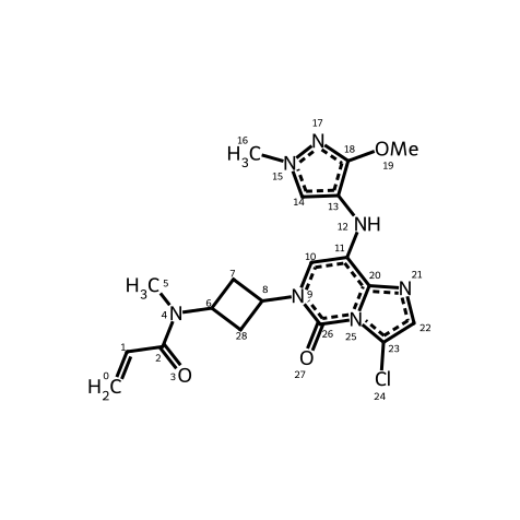 C=CC(=O)N(C)C1CC(n2cc(Nc3cn(C)nc3OC)c3ncc(Cl)n3c2=O)C1